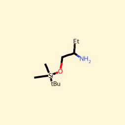 CCC(N)CO[Si](C)(C)C(C)(C)C